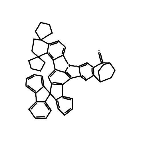 O=C1c2cc3c(cc2C2CCC1CC2)c1c2c(cc4c5c6c(ccc5n3c41)C1(CCCC1)CCC61CCCC1)C1(c3ccccc3-c3ccccc31)c1ccccc1-2